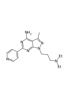 CCN(CC)CCCn1nc(C)c2c(N)nc(-c3ccncc3)nc21